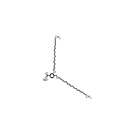 CCCCCCCCCCCCCCCCCCOCc1ccc(C(=O)[O-])cc1OCCCCCCCCCCCCCCCCCC.[Na+]